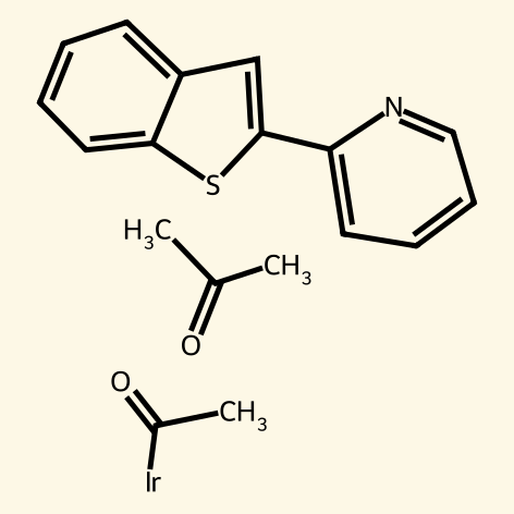 CC(C)=O.C[C](=O)[Ir].c1ccc(-c2cc3ccccc3s2)nc1